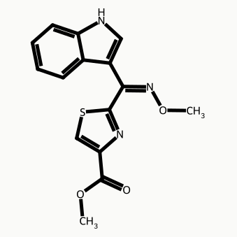 CO/N=C(\c1nc(C(=O)OC)cs1)c1c[nH]c2ccccc12